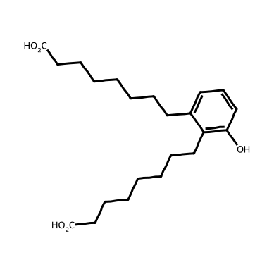 O=C(O)CCCCCCCc1cccc(O)c1CCCCCCCC(=O)O